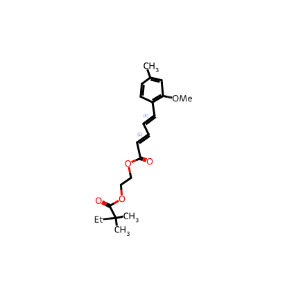 CCC(C)(C)C(=O)OCCOC(=O)/C=C/C=C/c1ccc(C)cc1OC